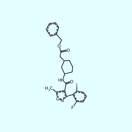 Cc1onc(-c2c(F)cccc2I)c1C(=O)NC1CCCC(CC(=O)OCc2ccccc2)C1